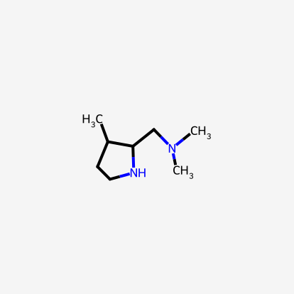 CC1CCNC1CN(C)C